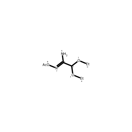 CCOC(OCC)/C(N)=N/OC(C)=O